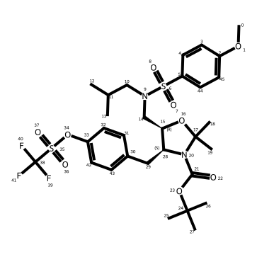 COc1ccc(S(=O)(=O)N(CC(C)C)C[C@H]2OC(C)(C)N(C(=O)OC(C)(C)C)[C@H]2Cc2ccc(OS(=O)(=O)C(F)(F)F)cc2)cc1